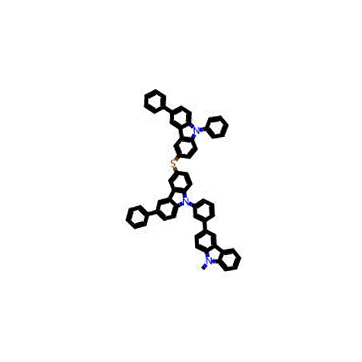 Cn1c2ccccc2c2cc(-c3cccc(-n4c5ccc(Sc6ccc7c(c6)c6cc(-c8ccccc8)ccc6n7-c6ccccc6)cc5c5cc(-c6ccccc6)ccc54)c3)ccc21